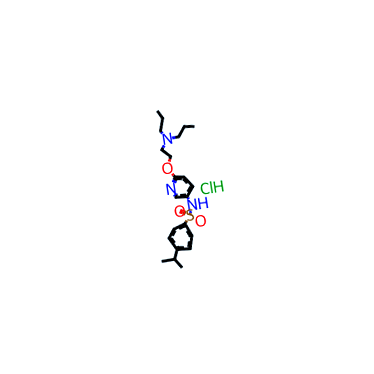 CCCN(CCC)CCOc1ccc(NS(=O)(=O)c2ccc(C(C)C)cc2)cn1.Cl